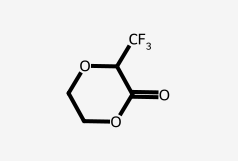 O=C1OCCOC1C(F)(F)F